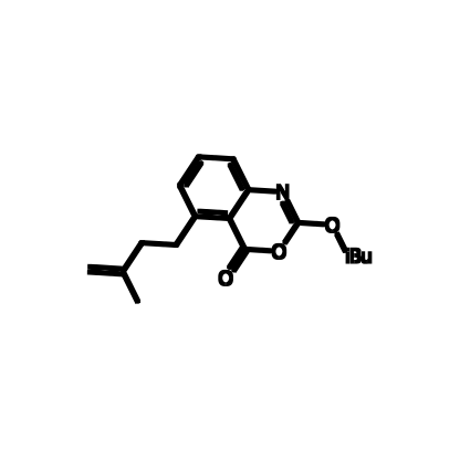 C=C(C)CCc1cccc2nc(OC(C)CC)oc(=O)c12